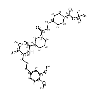 COC(=O)[C@H](CCCc1ccc(OC)c(OC)c1)NC(=O)[C@@H]1CCCN(C(=O)CCC2CCN(C(=O)OC(C)(C)C)CC2)C1